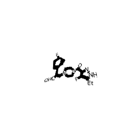 CCc1[nH]nc(C(=O)N2CCN(CC(C=O)c3ccc(F)cc3)CC2)c1F